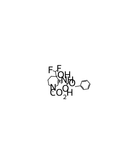 O=C(N[C@@H]1CN(C(=O)O)CCCC1(O)C(F)F)OCc1ccccc1